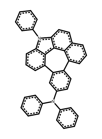 c1ccc(N(c2ccccc2)c2ccc3c(c2)-c2cccc4c2c2c5c-3cccc5ccc2n4-c2ccccc2)cc1